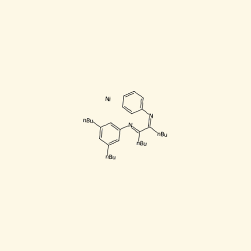 CCCCC(=Nc1ccccc1)C(CCCC)=Nc1cc(CCCC)cc(CCCC)c1.[Ni]